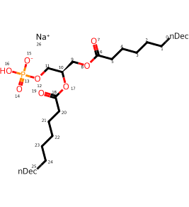 CCCCCCCCCCCCCCCC(=O)OC[C@H](COP(=O)([O-])O)OC(=O)CCCCCCCCCCCCCCC.[Na+]